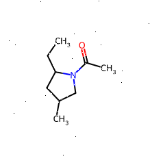 CCC1CC(C)CN1C(C)=O